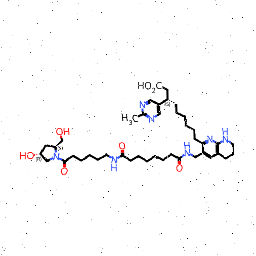 Cc1ncc([C@@H](CCCCCCc2nc3c(cc2CNC(=O)CCCCCCC(=O)NCCCCCC(=O)N2C[C@H](O)C[C@H]2CO)CCCN3)CC(=O)O)cn1